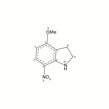 COc1ccc([N+](=O)[O-])c2c1CCN2